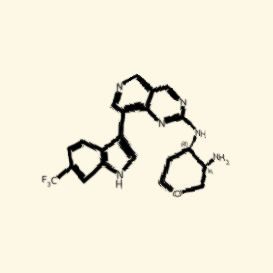 N[C@H]1COCC[C@H]1Nc1ncc2cncc(-c3c[nH]c4cc(C(F)(F)F)ccc34)c2n1